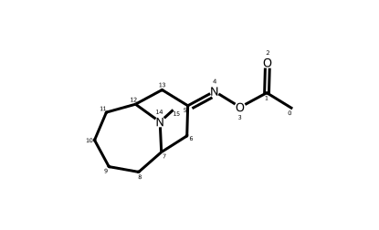 CC(=O)ON=C1CC2CCCCC(C1)N2C